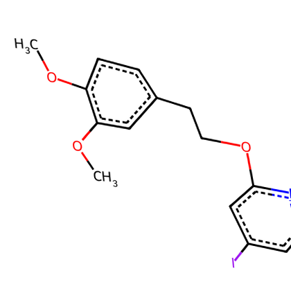 COc1ccc(CCOc2cc(I)ccn2)cc1OC